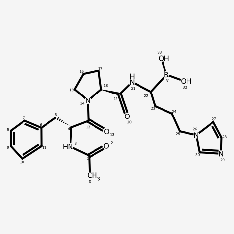 CC(=O)N[C@H](Cc1ccccc1)C(=O)N1CCC[C@H]1C(=O)NC(CCCn1ccnc1)B(O)O